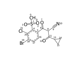 CS(=O)(=O)c1c(C(=O)C(C#N)C(=O)C2CC2)ccc(Br)c1Cl